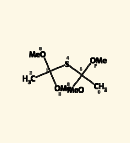 COC(C)(OC)SC(C)(OC)OC